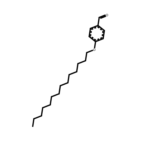 CCCCCCCCCCCCCCOc1ccc([C]=O)cc1